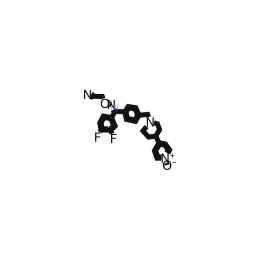 N#CCO/N=C(/c1ccc(CN2CCC(c3cc[n+]([O-])cc3)CC2)cc1)c1ccc(F)c(F)c1